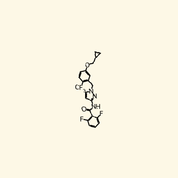 O=C(Nc1ccn(Cc2cc(OCC3CC3)ccc2C(F)(F)F)n1)c1c(F)cccc1F